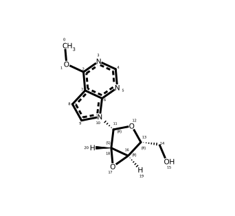 COc1ncnc2c1ccn2[C@@H]1O[C@H](CO)[C@H]2O[C@@H]21